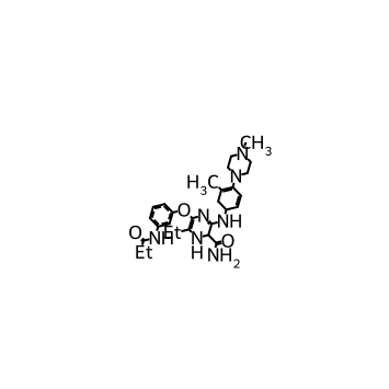 CCC(=O)Nc1cccc(OC2=C(CC)NC(C(N)=O)C(NC3C=CC(N4CCN(C)CC4)=C(C)C3)=N2)c1